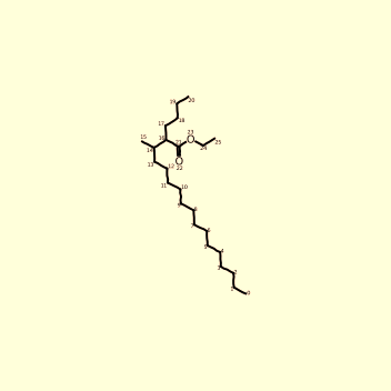 CCCCCCCCCCCCCCC(C)C(CCCC)C(=O)OCC